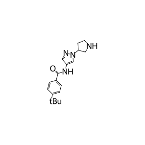 CC(C)(C)c1ccc(C(=O)Nc2cnn(C3CCNC3)c2)cc1